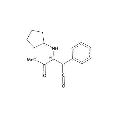 COC(=O)[C@H](NC1CCCC1)C(=C=O)c1ccccc1